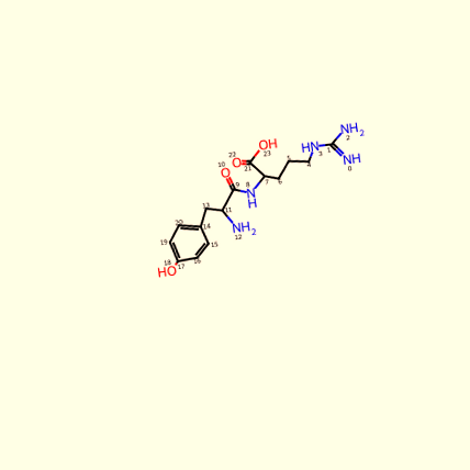 N=C(N)NCCCC(NC(=O)C(N)Cc1ccc(O)cc1)C(=O)O